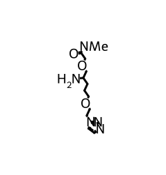 CNC(=O)COCC(N)CCCOCCn1ccnn1